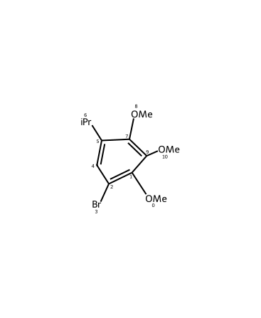 COc1c(Br)cc(C(C)C)c(OC)c1OC